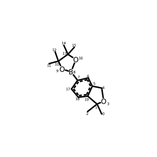 CC1(C)OCc2cc(B3OC(C)(C)C(C)(C)O3)ccc21